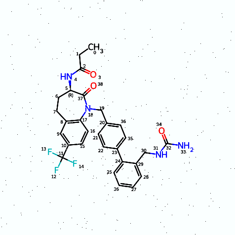 CCC(=O)N[C@@H]1CCc2cc(C(F)(F)F)ccc2N(Cc2ccc(-c3ccccc3CNC(N)=O)cc2)C1=O